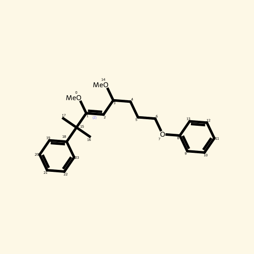 CO/C(=C\C(CCCOc1ccccc1)OC)C(C)(C)c1ccccc1